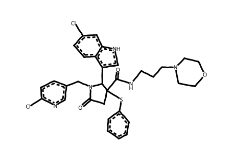 O=C1CC(Sc2ccccc2)(C(=O)NCCCN2CCOCC2)C(c2c[nH]c3cc(Cl)ccc23)N1Cc1ccc(Cl)nc1